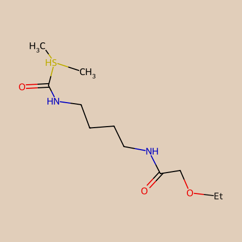 CCOCC(=O)NCCCCNC(=O)[SH](C)C